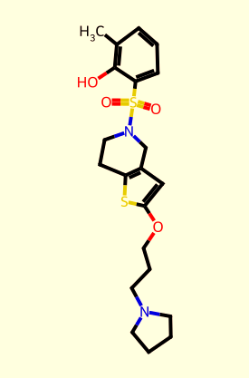 Cc1cccc(S(=O)(=O)N2CCc3sc(OCCCN4CCCC4)cc3C2)c1O